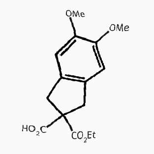 CCOC(=O)C1(C(=O)O)Cc2cc(OC)c(OC)cc2C1